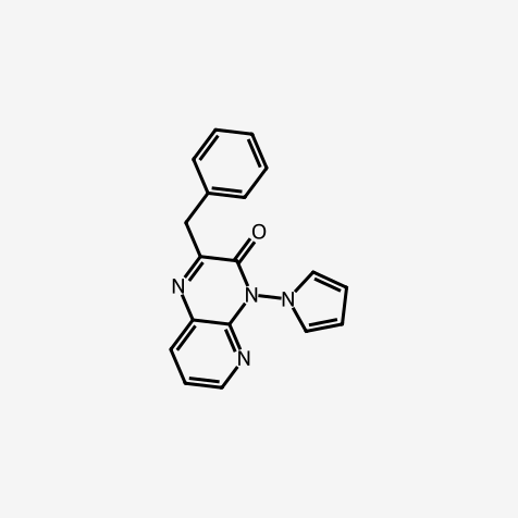 O=c1c(Cc2ccccc2)nc2cccnc2n1-n1cccc1